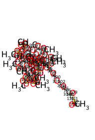 COC(=O)[C@H]1O[C@@H](O[C@H]2[C@H](OS(=O)(=O)OC)[C@@H](OS(=O)(=O)OC)[C@@H](O[C@H]3[C@H](OC)[C@@H](OC)[C@H](O[C@H]4[C@H](OS(=O)(=O)OC)[C@@H](OS(=O)(=O)OC)[C@@H](OC)O[C@@H]4COS(=O)(=O)OC)O[C@H]3C(=O)OC)O[C@@H]2COS(=O)(=O)OC)[C@H](OC)[C@@H](OC)[C@@H]1O[C@H]1O[C@H](COS(=O)(=O)OC)[C@@H](OCCOCCOCCOCCCC(=O)CSC(C)=O)[C@H](OC)[C@H]1OC